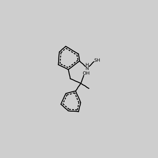 CC(O)(Cc1ccccc1NS)c1ccccc1